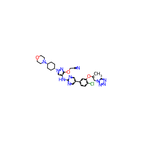 C[C@@H](Cn1cnnn1)Oc1cc(-c2cnc(Nc3cn([C@H]4CC[C@H](N5CCOCC5)CC4)nc3OCC#N)nc2)ccc1Cl